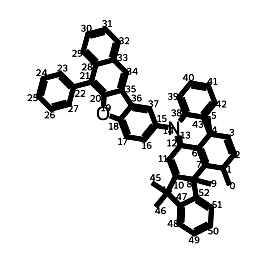 CC1C=CC2(C)C3=C1C1(C)C(=CC3(C)N(c3ccc4oc5c(-c6ccccc6)c6ccccc6cc5c4c3)c3ccccc32)C(C)(C)c2ccccc21